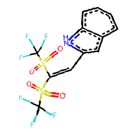 O=S(=O)(C(=Cc1cc2ccccc2[nH]1)S(=O)(=O)C(F)(F)F)C(F)(F)F